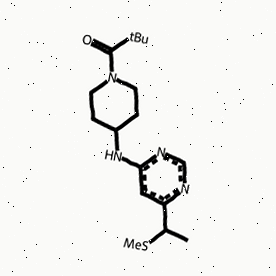 CSC(C)c1cc(NC2CCN(C(=O)C(C)(C)C)CC2)ncn1